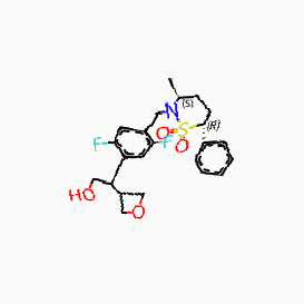 C[C@H]1CC[C@H](c2ccccc2)S(=O)(=O)N1Cc1cc(F)c(C(CO)C2COC2)cc1F